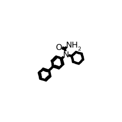 NC(=O)N(c1ccc(-c2ccccc2)cc1)C1CCCCC1